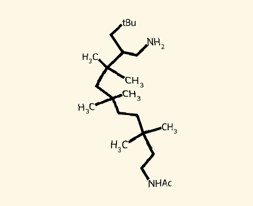 CC(=O)NCCC(C)(C)CCC(C)(C)CC(C)(C)C(CN)CC(C)(C)C